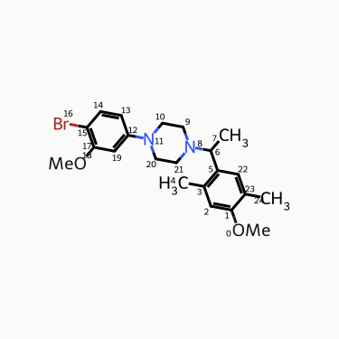 COc1cc(C)c(C(C)N2CCN(c3ccc(Br)c(OC)c3)CC2)cc1C